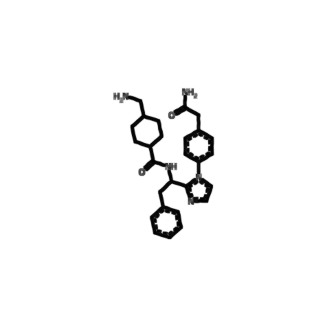 NCC1CCC(C(=O)NC(Cc2ccccc2)c2nccn2-c2ccc(CC(N)=O)cc2)CC1